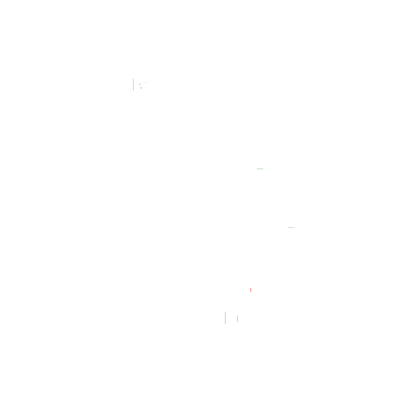 CCOc1ccc(-c2ccc(Br)c(F)c2)c(F)c1F